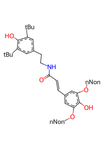 CCCCCCCCCOc1cc(/C=C/C(=O)NCCc2cc(C(C)(C)C)c(O)c(C(C)(C)C)c2)cc(OCCCCCCCCC)c1O